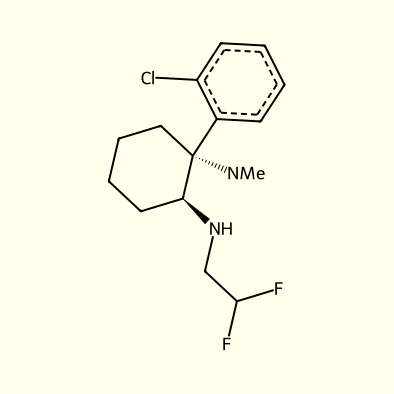 CN[C@@]1(c2ccccc2Cl)CCCC[C@@H]1NCC(F)F